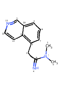 CN(C)C(=N)Cc1cccc2cnccc12